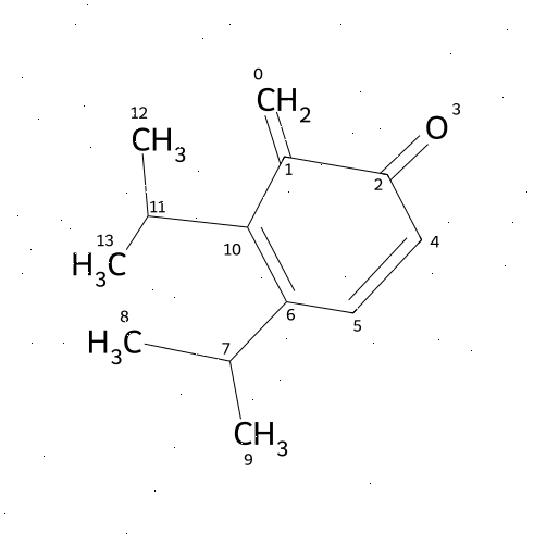 C=C1C(=O)C=CC(C(C)C)=C1C(C)C